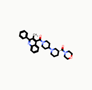 Cc1c(-c2ccccc2)nc2ccccc2c1C(=O)N1CCC(N2CCC[C@@H](C(=O)N3CCOCC3)C2)CC1